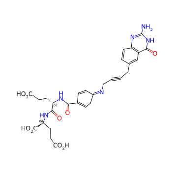 Nc1nc2ccc(CC#CCN=C3C=CC(C(=O)N[C@@H](CCC(=O)O)C(=O)N[C@@H](CCC(=O)O)C(=O)O)=CC3)cc2c(=O)[nH]1